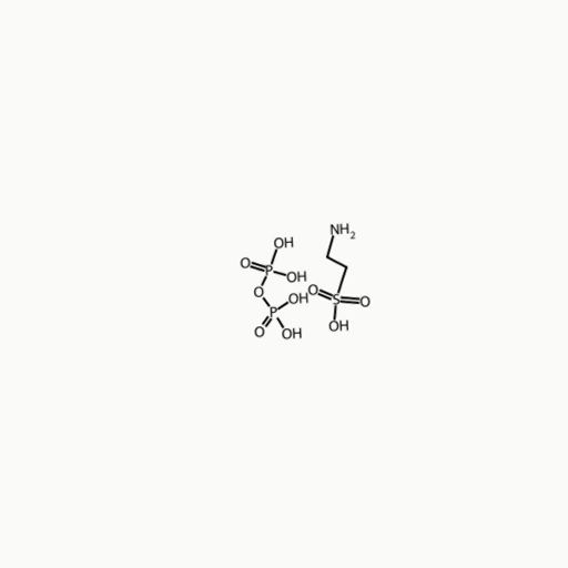 NCCS(=O)(=O)O.O=P(O)(O)OP(=O)(O)O